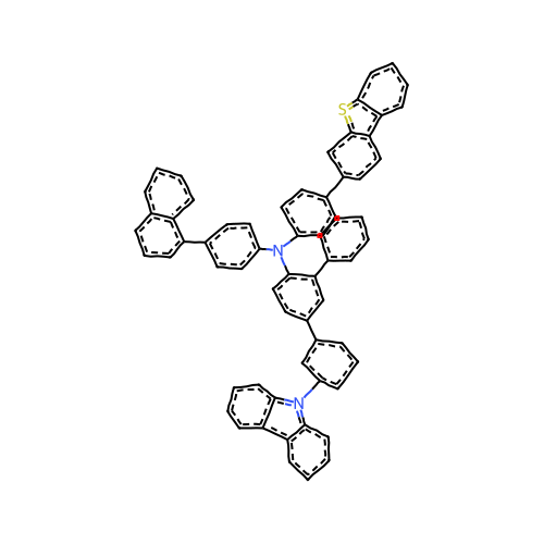 c1ccc(-c2cc(-c3cccc(-n4c5ccccc5c5ccccc54)c3)ccc2N(c2ccc(-c3ccc4c(c3)sc3ccccc34)cc2)c2ccc(-c3cccc4ccccc34)cc2)cc1